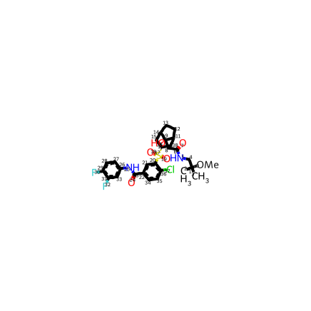 COC(C)(C)CNC(=O)C[C@]1(O)C2CCC1C[C@@H](S(=O)(=O)c1cc(C(=O)Nc3ccc(F)c(F)c3)ccc1Cl)C2